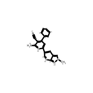 Cn1cc2cc(-c3cc(-c4ccccc4)c(C#N)c(N)n3)cnc2n1